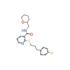 O=C(NCC1CCCCO1)c1cccnc1SCCCc1ccc(F)cc1